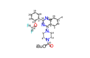 Cc1ccc2c(N3CCN(C(=O)OCC(C)C)CC3)nc(-c3ccccc3OC(F)F)nc2c1